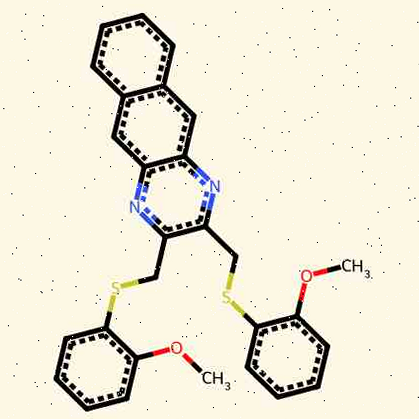 COc1ccccc1SCc1nc2cc3ccccc3cc2nc1CSc1ccccc1OC